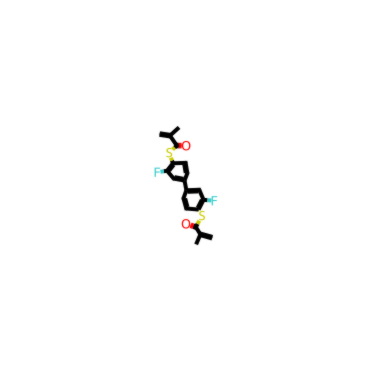 C=C(C)C(=O)Sc1ccc(-c2ccc(SC(=O)C(=C)C)c(F)c2)cc1F